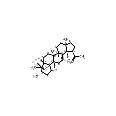 C=C(C)[C@@H]1CC[C@]2(C)CC[C@]3(C)C(=CC[C@@H]4[C@@]5(C)CC[C@H](O)C(C)(C)[C@@H]5CC[C@]43C)[C@@H]12